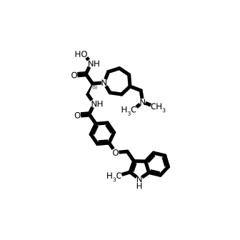 Cc1[nH]c2ccccc2c1COc1ccc(C(=O)NC[C@@H](C(=O)NO)N2CCCC(CN(C)C)CC2)cc1